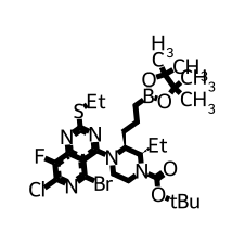 CCSc1nc(N2CCN(C(=O)OC(C)(C)C)[C@@H](CC)[C@@H]2CCCB2OC(C)(C)C(C)(C)O2)c2c(Br)nc(Cl)c(F)c2n1